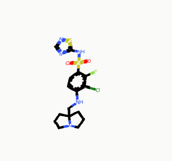 O=S(=O)(Nc1ncns1)c1ccc(NCC23CCCN2CCC3)c(Cl)c1F